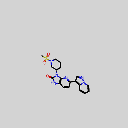 CS(=O)(=O)N1CCC[C@H](n2c(=O)[nH]c3ccc(-c4cnn5ccccc45)nc32)C1